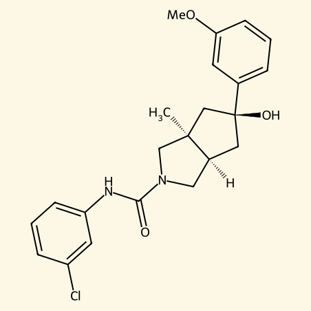 COc1cccc([C@]2(O)C[C@H]3CN(C(=O)Nc4cccc(Cl)c4)C[C@@]3(C)C2)c1